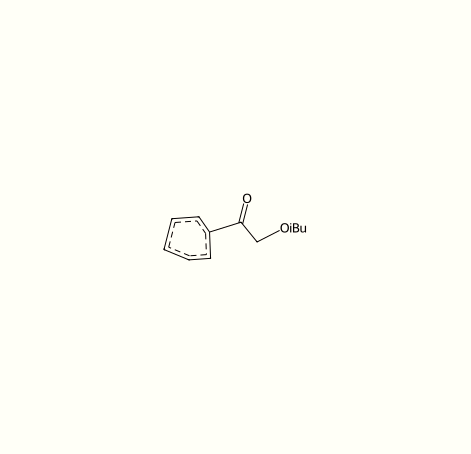 CC(C)COCC(=O)c1ccccc1